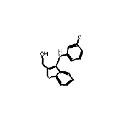 OCc1sc2ccccc2c1Nc1cccc(Cl)c1